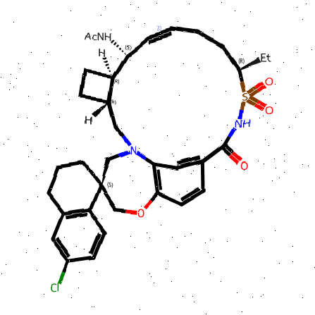 CC[C@@H]1CC/C=C\[C@@H](NC(C)=O)[C@@H]2CC[C@H]2CN2C[C@@]3(CCCc4cc(Cl)ccc43)COc3ccc(cc32)C(=O)NS1(=O)=O